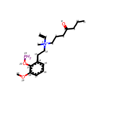 C=C[N+](C)(CCCC(=O)CCC)CCc1cccc(OC)c1OP